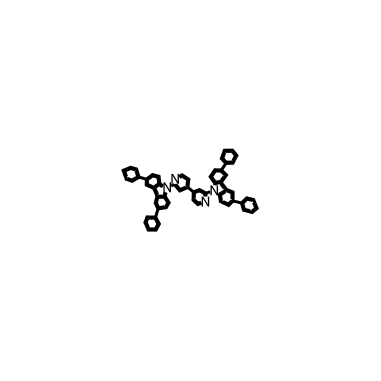 c1ccc(-c2ccc3c(c2)c2cc(-c4ccccc4)ccc2n3-c2cc(-c3ccnc(-n4c5ccc(-c6ccccc6)cc5c5cc(-c6ccccc6)ccc54)c3)ccn2)cc1